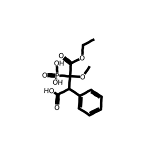 CCOC(=O)C(OC)(C(C(=O)O)c1ccccc1)P(=O)(O)O